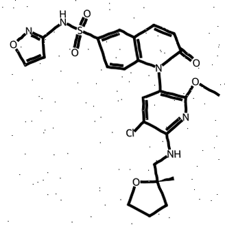 COc1nc(NC[C@]2(C)CCCO2)c(Cl)cc1-n1c(=O)ccc2cc(S(=O)(=O)Nc3ccon3)ccc21